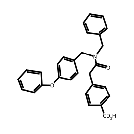 O=C(O)c1ccc(CC(=O)N(Cc2ccccc2)Cc2ccc(Oc3ccccc3)cc2)cc1